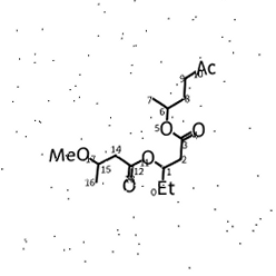 CCC(CC(=O)OC(C)CCC(C)=O)OC(=O)CC(C)OC